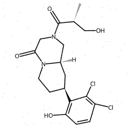 C[C@H](CO)C(=O)N1CC(=O)N2CC[C@H](c3c(O)ccc(Cl)c3Cl)C[C@@H]2C1